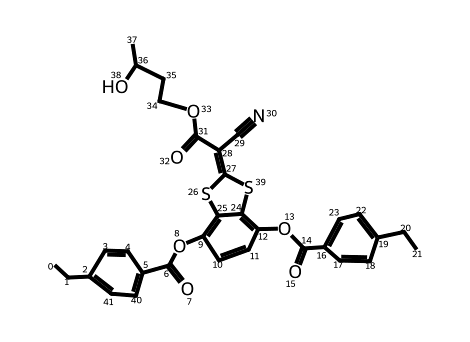 CCc1ccc(C(=O)Oc2ccc(OC(=O)c3ccc(CC)cc3)c3c2SC(=C(C#N)C(=O)OCCC(C)O)S3)cc1